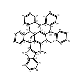 CC1C2=C3C(C)(c4ccccc4N4c5ccccc5B5C(=C1N(c1ccccc1)c1ccccc15)C34C)c1oc3ccccc3c1C2C